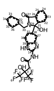 O=C(CC(O)(C(F)(F)F)C(F)(F)F)Nc1nc2cc(C3(O)c4ccccc4C(=O)N3Cc3ccccc3)ccc2[nH]1